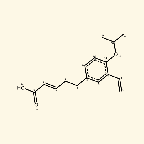 C=Cc1cc(CCC=CC(=O)O)ccc1OC(C)C